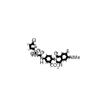 CNc1cc2ccn(-c3ccc(NC(=O)NS(=O)(=O)c4ccc(Cl)s4)cc3C(=O)O)c(=O)c2cc1F